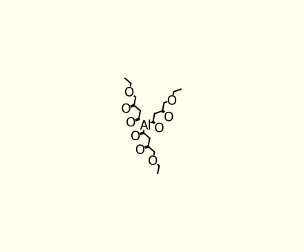 CCOCC(=O)C[C](=O)[Al]([C](=O)CC(=O)COCC)[C](=O)CC(=O)COCC